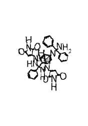 NC(N)(c1ccccc1)c1ccccc1.O=C1C=C(NNC(NNC2=CC(=O)NC2=O)(c2ccccc2)c2ccccc2)C(=O)N1